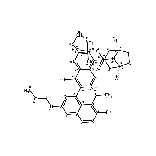 CCc1c(F)ccc2cc(OCOC)cc(-c3c(F)cc4c(N5C[C@H]6CC[C@@H](C5)N6C(=O)OC(C)(C)C)nc(SC)nc4c3F)c12